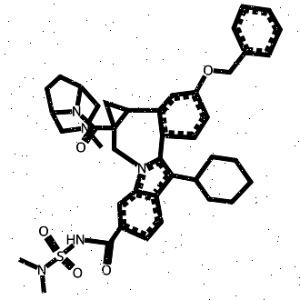 CN1CC2CCC(C1)N2C(=O)C12CC1c1cc(OCc3ccccc3)ccc1-c1c(C3CCCCC3)c3ccc(C(=O)NS(=O)(=O)N(C)C)cc3n1C2